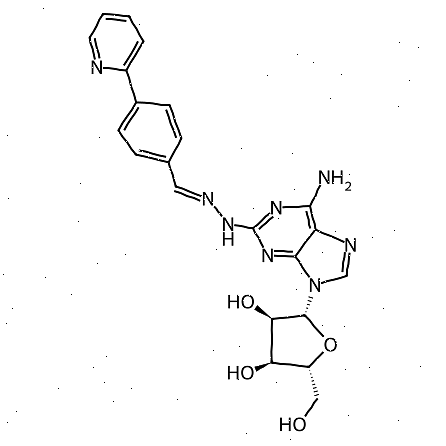 Nc1nc(NN=Cc2ccc(-c3ccccn3)cc2)nc2c1ncn2[C@@H]1O[C@H](CO)[C@@H](O)[C@H]1O